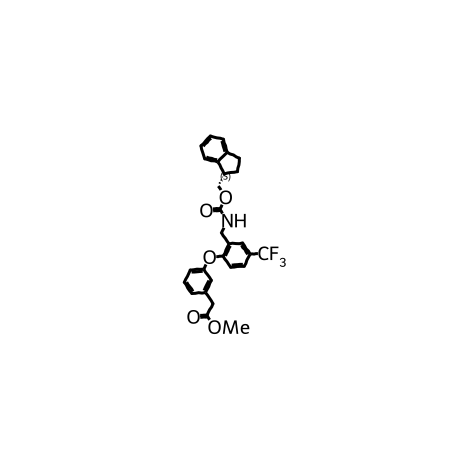 COC(=O)Cc1cccc(Oc2ccc(C(F)(F)F)cc2CNC(=O)OC[C@H]2CCc3ccccc32)c1